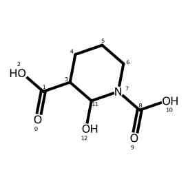 O=C(O)C1CCCN(C(=O)O)C1O